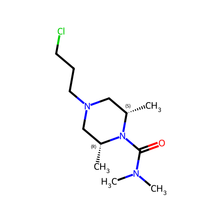 C[C@@H]1CN(CCCCl)C[C@H](C)N1C(=O)N(C)C